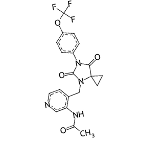 CC(=O)Nc1cnccc1CN1C(=O)N(c2ccc(OC(F)(F)F)cc2)C(=O)C12CC2